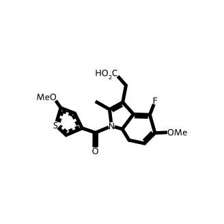 COC1=CCC2C(=C1F)C(CC(=O)O)=C(C)N2C(=O)c1csc(OC)c1